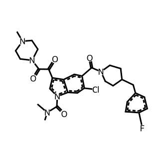 CN1CCN(C(=O)C(=O)c2cn(C(=O)N(C)C)c3cc(Cl)c(C(=O)N4CCC(Cc5ccc(F)cc5)CC4)cc23)CC1